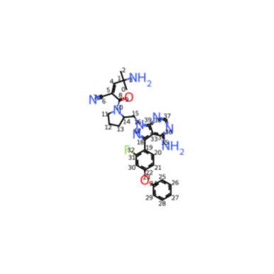 CC(C)(N)/C=C(/C#N)C(=O)N1CCCC1Cn1nc(-c2ccc(Oc3ccccc3)cc2F)c2c(N)ncnc21